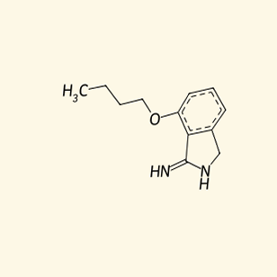 CCCCOc1cccc2c1C(=N)NC2